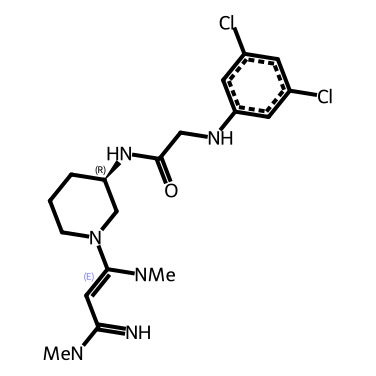 CNC(=N)/C=C(\NC)N1CCC[C@@H](NC(=O)CNc2cc(Cl)cc(Cl)c2)C1